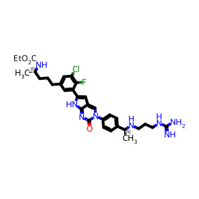 CCOC(=O)N[C@@H](C)CCCc1cc(Cl)c(F)c(-c2cc3cn(-c4ccc([C@H](C)NCCCNC(=N)N)cc4)c(=O)nc3[nH]2)c1